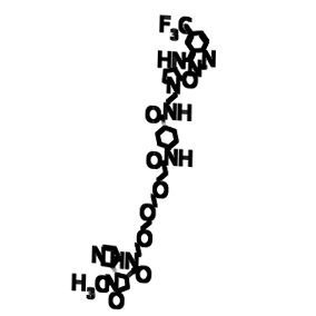 CN1C(=O)C[C@H](C(=O)NCCOCCOCCOCCC(=O)N[C@H]2CC[C@@H](C(=O)NCCN3CC[C@H](Nc4ncnc5ccc(C(F)(F)F)cc45)C3=O)CC2)[C@H]1c1cccnc1